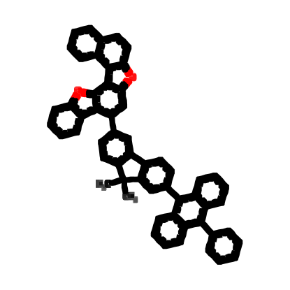 CC1(C)c2ccc(-c3cc4oc5ccc6ccccc6c5c4c4oc5ccccc5c34)cc2-c2ccc(-c3c4ccccc4c(-c4ccccc4)c4ccccc34)cc21